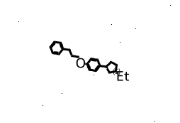 CC[C@H]1CCC(c2ccc(OCCCc3ccccc3)cc2)C1